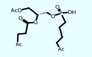 CC(=O)CCCCP(=O)(O)OC[C@@H](COC(C)=O)OC(=O)CCC(C)=O